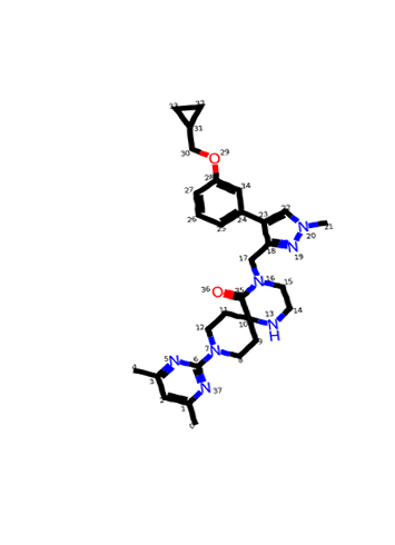 Cc1cc(C)nc(N2CCC3(CC2)NCCN(Cc2nn(C)cc2-c2cccc(OCC4CC4)c2)C3=O)n1